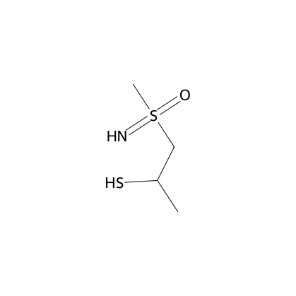 CC(S)CS(C)(=N)=O